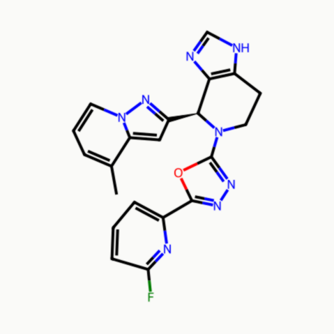 Cc1cccn2nc([C@H]3c4nc[nH]c4CCN3c3nnc(-c4cccc(F)n4)o3)cc12